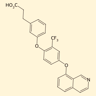 O=C(O)CCc1cccc(Oc2ccc(Oc3cccc4ccncc34)cc2C(F)(F)F)c1